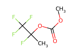 COC(=O)OC(C)(F)C(F)(F)F